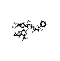 CC(C)C(CS(=O)(=O)c1ccccc1)NC(=O)N[C@H](C(=O)N1CC2C([C@H]1C(=O)NC(CC1CC1)C(=O)C(N)=O)C2(C)C)C(C)(C)C